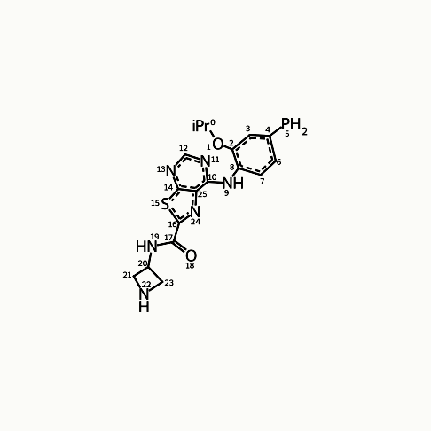 CC(C)Oc1cc(P)ccc1Nc1ncnc2sc(C(=O)NC3CNC3)nc12